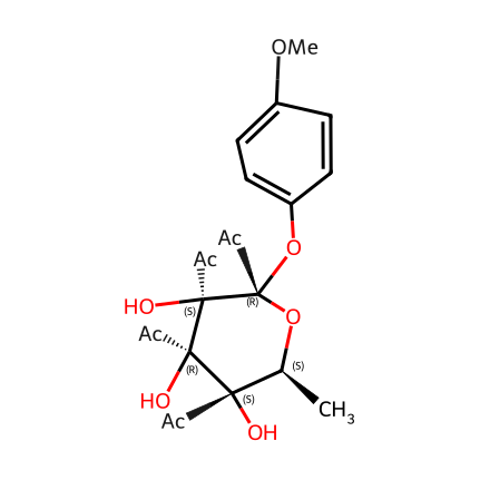 COc1ccc(O[C@]2(C(C)=O)O[C@@H](C)[C@@](O)(C(C)=O)[C@](O)(C(C)=O)[C@]2(O)C(C)=O)cc1